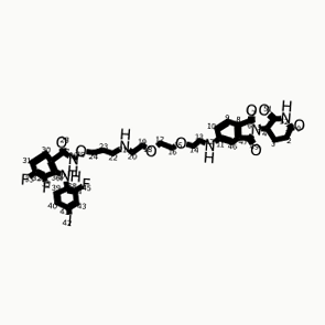 O=C1CCC(N2C(=O)c3ccc(NCCOCCOCCNCCCONC(=O)c4ccc(F)c(F)c4Nc4ccc(I)cc4F)cc3C2=O)C(=O)N1